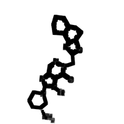 CCn1c(N2CCC[C@@H](N)C2)nc2cnn(Cc3nc4c(ccc5ccccc54)o3)c(=O)c21